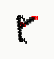 CCCCCCCCC(CCCCCC)CC(=O)OCCCCCCO